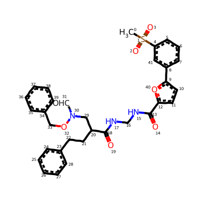 CS(=O)(=O)c1cccc(-c2ccc(C(=O)NCNC(=O)C(CCc3ccccc3)CN(C=O)OCc3ccccc3)o2)c1